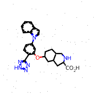 O=C(O)C1CC2CC(Oc3cc(-n4ccc5ccccc54)ccc3-c3nn[nH]n3)CCC2CN1